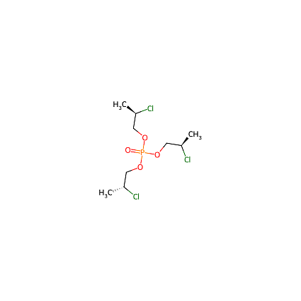 C[C@@H](Cl)COP(=O)(OC[C@@H](C)Cl)OC[C@@H](C)Cl